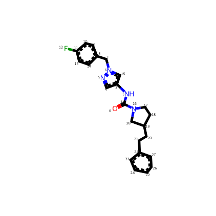 O=C(Nc1cnn(Cc2ccc(F)cc2)c1)N1CCC(CCc2ccccc2)C1